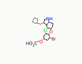 O=C(O)COc1cc(Cl)c(Oc2ccc3[nH]cc(CC4CCCC4)c3c2)c(Br)c1